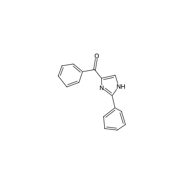 O=C(c1ccccc1)c1c[nH]c(-c2ccccc2)n1